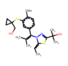 C/C=C1\SC(C(C)(C)O)=NN1C(=C(C)C)c1ccc(OC)c(SC2(CO)CC2)c1